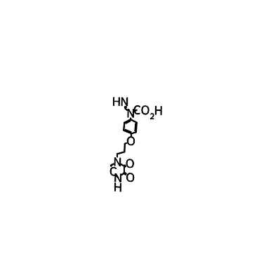 N=CN(C(=O)O)c1ccc(OCCCN2CCNC(=O)C2=O)cc1